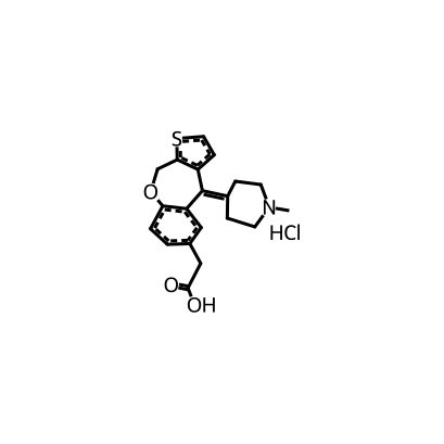 CN1CCC(=C2c3cc(CC(=O)O)ccc3OCc3sccc32)CC1.Cl